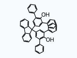 Oc1c(-c2ccccc2)cc(C2(c3cc(-c4ccccc4)c(O)c(-c4ccccc4)c3)c3ccccc3-c3ccccc32)cc1-c1ccccc1